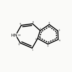 [C]1=Cc2ccccc2C=CN1